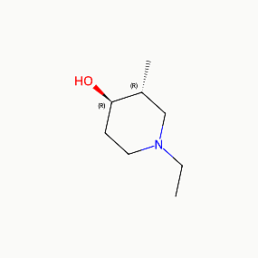 CCN1CC[C@@H](O)[C@H](C)C1